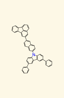 c1ccc(-c2ccc3c(c2)c2cc(-c4ccccc4)ccc2n3-c2ccc3cc(-c4cc5c6c(cccc6c4)-c4ccccc4-5)ccc3c2)cc1